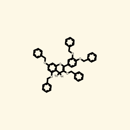 [2H]C1([2H])C(OCc2ccccc2)=C(c2ccc(OCc3ccccc3)c(OCc3ccccc3)c2)Oc2cc(OCc3ccccc3)cc(OCc3ccccc3)c21